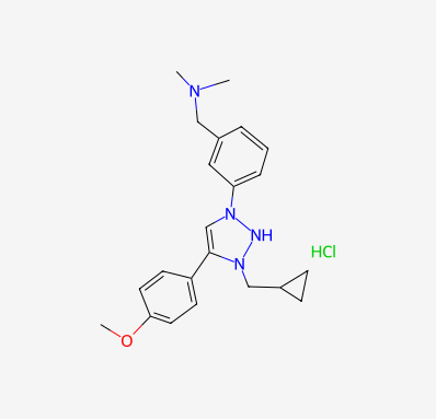 COc1ccc(C2=CN(c3cccc(CN(C)C)c3)NN2CC2CC2)cc1.Cl